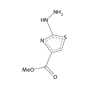 COC(=O)c1csc(NN)n1